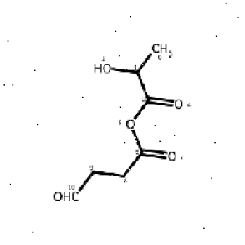 CC(O)C(=O)OC(=O)CCC=O